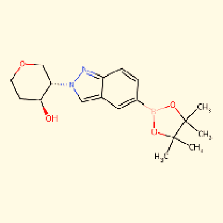 CC1(C)OB(c2ccc3nn([C@H]4COCC[C@@H]4O)cc3c2)OC1(C)C